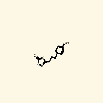 CC(C)(C)c1ccc(CCCc2noc(=O)o2)cc1